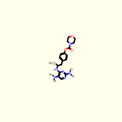 CCN(CC)c1ncc(N(C(C)=O)C(C)C)c(NC(Cc2ccc(OC(=O)N3CCOCC3)cc2)C(=O)O)n1